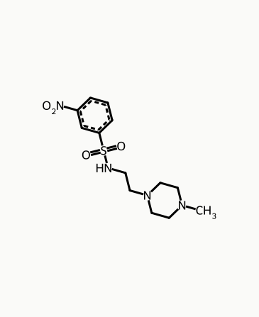 CN1CCN(CCNS(=O)(=O)c2cccc([N+](=O)[O-])c2)CC1